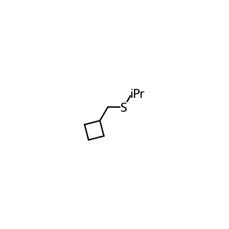 CC(C)SCC1CCC1